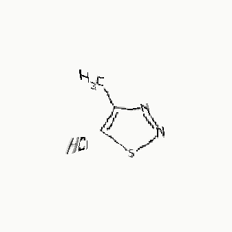 Cc1csnn1.Cl